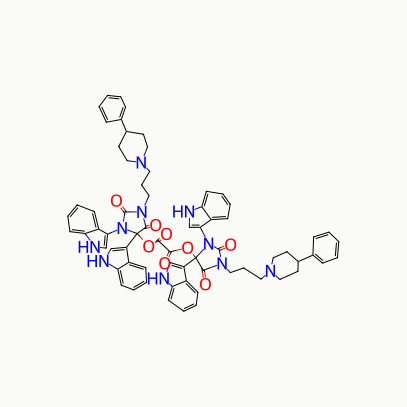 O=C(OC1(c2c[nH]c3ccccc23)C(=O)N(CCCN2CCC(c3ccccc3)CC2)C(=O)N1c1c[nH]c2ccccc12)C(=O)OC1(c2c[nH]c3ccccc23)C(=O)N(CCCN2CCC(c3ccccc3)CC2)C(=O)N1c1c[nH]c2ccccc12